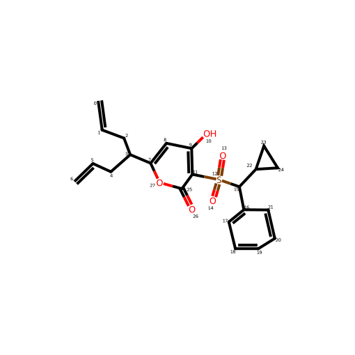 C=CCC(CC=C)c1cc(O)c(S(=O)(=O)C(c2ccccc2)C2CC2)c(=O)o1